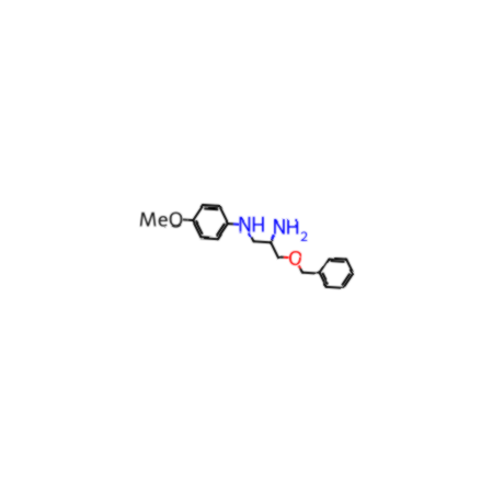 COc1ccc(NC[C@@H](N)COCc2ccccc2)cc1